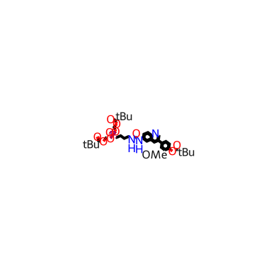 COc1cc(-c2cnc3ccc(NC(=O)NCCCCP(=O)(OCOC(=O)C(C)(C)C)OCOC(=O)C(C)(C)C)cc3c2)ccc1OC(=O)C(C)(C)C